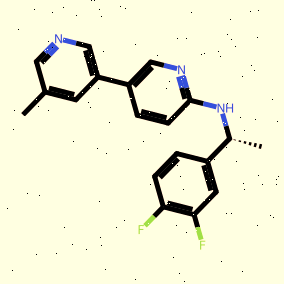 Cc1cncc(-c2ccc(N[C@H](C)c3ccc(F)c(F)c3)nc2)c1